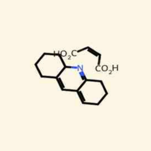 C1=C2C=C3CCCCC3N=C2CCC1.O=C(O)/C=C\C(=O)O